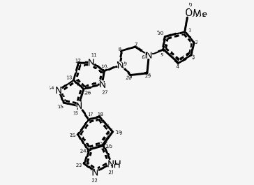 COc1cccc(N2CCN(c3ncc4ncn(-c5ccc6[nH]ncc6c5)c4n3)CC2)c1